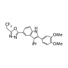 COc1ccc(-c2[nH]c3ccc(-c4nnc(CC(F)(F)F)o4)cc3c2C(C)C)cc1OC